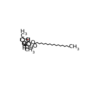 CCCCCCCCCCCCCCCCCC(=O)OC1=CC[C@@]2(O)[C@H]3Cc4ccc(C)c5c4[C@@]2(CCN3C)[C@H]1O5